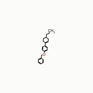 CCCC1CC=C(c2ccc(OCc3ccccc3)cc2)CC1